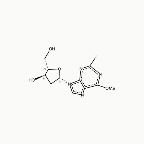 COc1nc(I)nc2c1ncn2[C@@H]1C[C@@H](O)[C@H](CO)O1